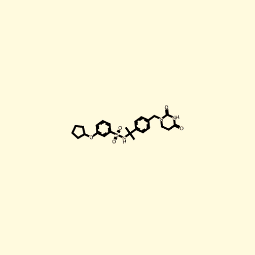 CC(C)(NS(=O)(=O)c1cccc(OC2CCCC2)c1)c1ccc(CN2CCC(=O)NC2=O)cc1